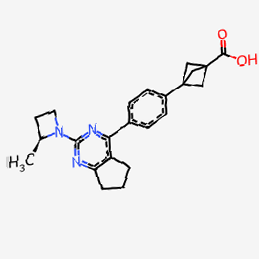 C[C@H]1CCN1c1nc2c(c(-c3ccc(C45CC(C(=O)O)(C4)C5)cc3)n1)CCC2